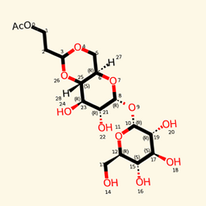 CC(=O)OCCC1OC[C@H]2O[C@H](O[C@H]3O[C@H](CO)[C@@H](O)[C@H](O)[C@H]3O)[C@H](O)[C@@H](O)[C@@H]2O1